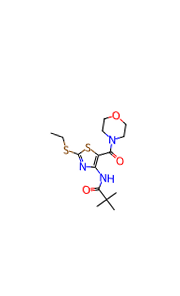 CCSc1nc(NC(=O)C(C)(C)C)c(C(=O)N2CCOCC2)s1